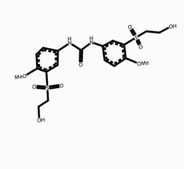 COc1ccc(NC(=O)Nc2ccc(OC)c(S(=O)(=O)CCO)c2)cc1S(=O)(=O)CCO